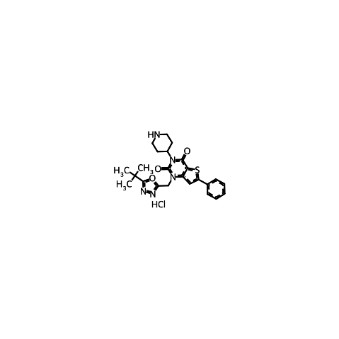 CC(C)(C)c1nnc(Cn2c(=O)n(C3CCNCC3)c(=O)c3sc(-c4ccccc4)cc32)o1.Cl